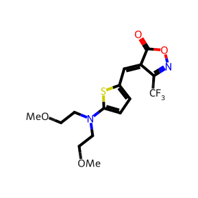 COCCN(CCOC)c1ccc(C=C2C(=O)ON=C2C(F)(F)F)s1